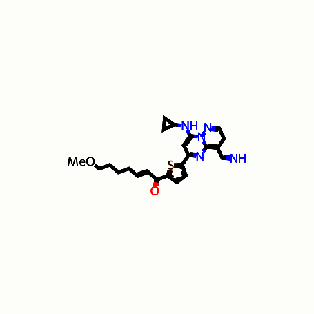 COCCCC/C=C/C(=O)c1ccc(C2=NC3=C(C=N)CC=NN3C(NC3CC3)=C2)s1